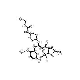 CCOC(=O)NC1CCC(N/C(=N\C(=O)C2=CC(C)OC2C(F)(F)F)Nc2cc(Cl)ccc2OC)CC1